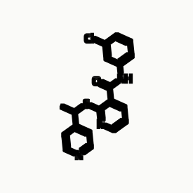 CC(Sc1ncccc1C(=O)Nc1cccc(Cl)c1)c1ccncc1